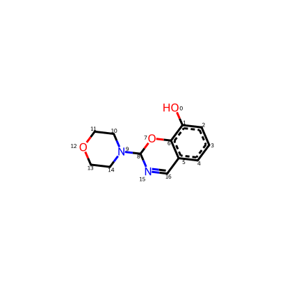 Oc1cccc2c1OC(N1CCOCC1)N=C2